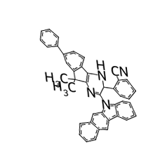 CC1(C)C2=C(NC(c3ccccc3C#N)C(n3c4ccccc4c4cc5ccccc5cc43)=N2)c2ccc(-c3ccccc3)cc21